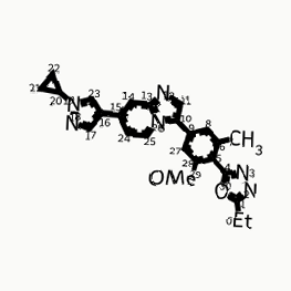 CCc1nnc(-c2c(C)cc(-c3cnc4cc(-c5cnn(C6CC6)c5)ccn34)cc2OC)o1